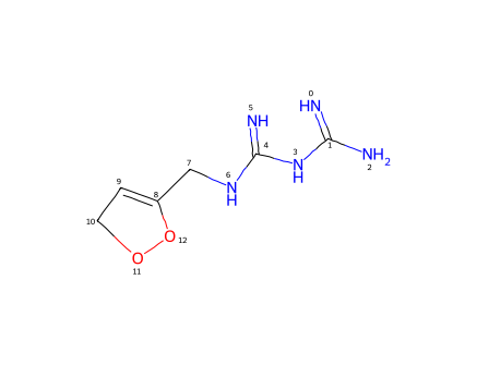 N=C(N)NC(=N)NCC1=CCOO1